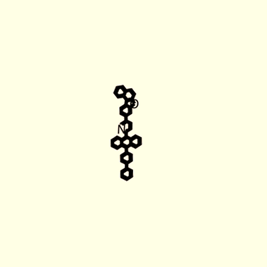 c1ccc(-c2ccc(-c3c4ccccc4c(-c4ccc(-c5ccc6c(c5)oc5ccc7ccccc7c56)cn4)c4ccccc34)cc2)cc1